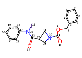 O=C(OCc1ccccc1)N1CC(C(=O)N(I)c2ccccc2)C1